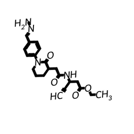 C#CC(CC(=O)OCC)NC(=O)CC1CCCN(c2ccc(C=NN)cc2)C1=O